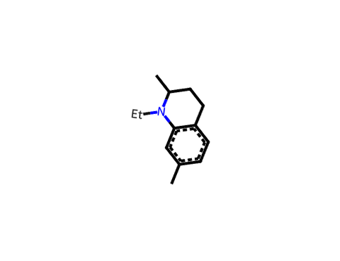 CCN1c2cc(C)ccc2CCC1C